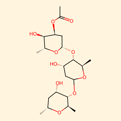 CC(=O)O[C@H]1C[C@H](O[C@H]2[C@@H](O)CC(O[C@H]3[C@@H](O)C[C@@H](C)O[C@@H]3C)O[C@@H]2C)O[C@H](C)[C@H]1O